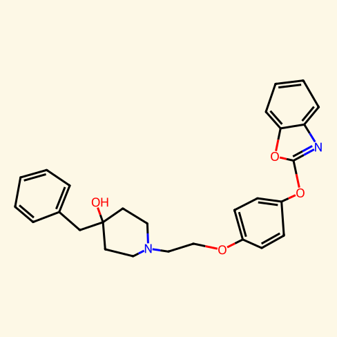 OC1(Cc2ccccc2)CCN(CCOc2ccc(Oc3nc4ccccc4o3)cc2)CC1